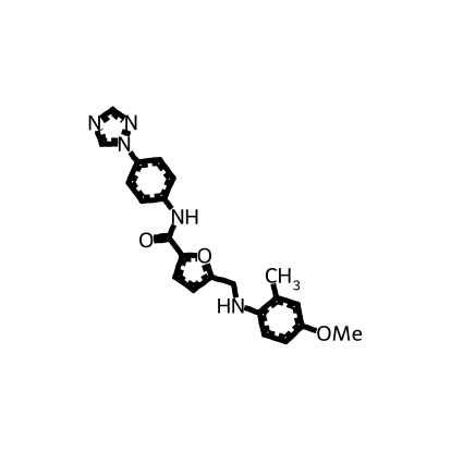 COc1ccc(NCc2ccc(C(=O)Nc3ccc(-n4cncn4)cc3)o2)c(C)c1